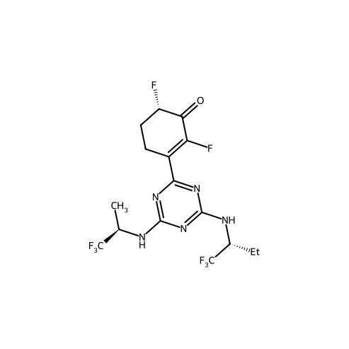 CC[C@@H](Nc1nc(N[C@H](C)C(F)(F)F)nc(C2=C(F)C(=O)[C@@H](F)CC2)n1)C(F)(F)F